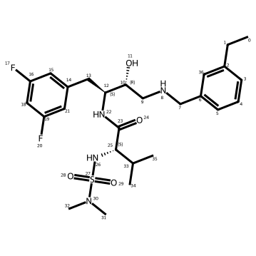 CCc1cccc(CNC[C@@H](O)[C@H](Cc2cc(F)cc(F)c2)NC(=O)[C@@H](NS(=O)(=O)N(C)C)C(C)C)c1